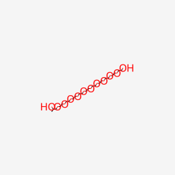 CC(O)COCCOCCOCCOCCOCCOCCOCCOCCOCCOCCO